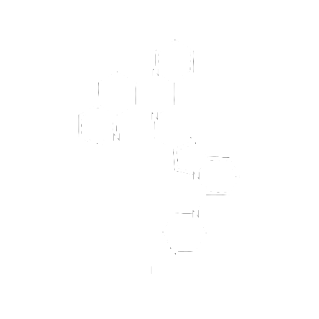 CN1CCN(c2cccc3nc(CN(Cc4ccccn4)[C@H]4CCCc5cccnc54)cn23)CC1